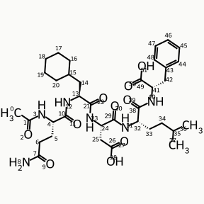 CC(=O)N[C@@H](CCC(N)=O)C(=O)N[C@@H](CC1CCCCC1)C(=O)N[C@@H](CC(=O)O)C(=O)N[C@@H](CCC(C)C)C(=O)N[C@@H](Cc1ccccc1)C(=O)O